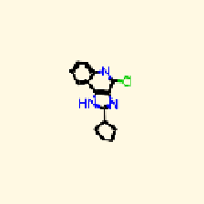 Clc1nc2ccccc2c2[nH]c(C3CCCC3)nc12